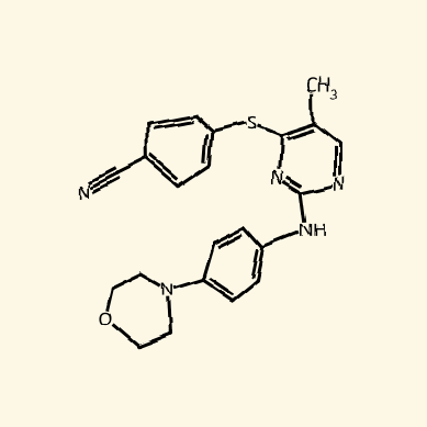 Cc1cnc(Nc2ccc(N3CCOCC3)cc2)nc1Sc1ccc(C#N)cc1